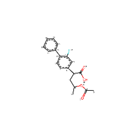 CC(=O)OC(C)CC(C(=O)O)c1ccc(-c2ccccc2)c(F)c1